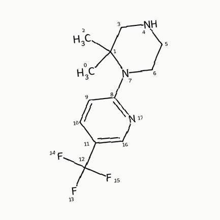 CC1(C)CNCCN1c1ccc(C(F)(F)F)cn1